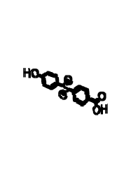 O=C(O)c1ccc(S(=O)(=O)c2ccc(O)cc2)cc1